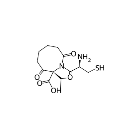 CC(C)[C@@]1(C(=O)O)C(=O)CCCCC(=O)N1C(=O)[C@@H](N)CS